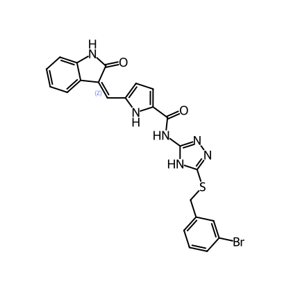 O=C1Nc2ccccc2/C1=C/c1ccc(C(=O)Nc2nnc(SCc3cccc(Br)c3)[nH]2)[nH]1